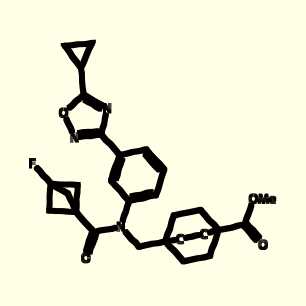 COC(=O)C12CCC(CN(C(=O)C34CC(F)(C3)C4)c3cccc(-c4noc(C5CC5)n4)c3)(CC1)CC2